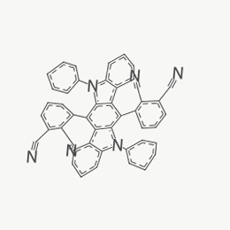 N#Cc1cccc(-c2c3c4ccccc4n(-c4ccccc4)c3c(-c3cccc(C#N)c3C#N)c3c4ccccc4n(-c4ccccc4)c23)c1C#N